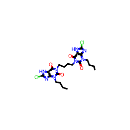 CCCCn1c(=O)n(CCCCn2c(=O)c3[nH]c(Cl)nc3n(CCCC)c2=O)c(=O)c2[nH]c(Cl)nc21